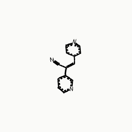 N#CC(=Cc1ccncc1)c1cccnc1